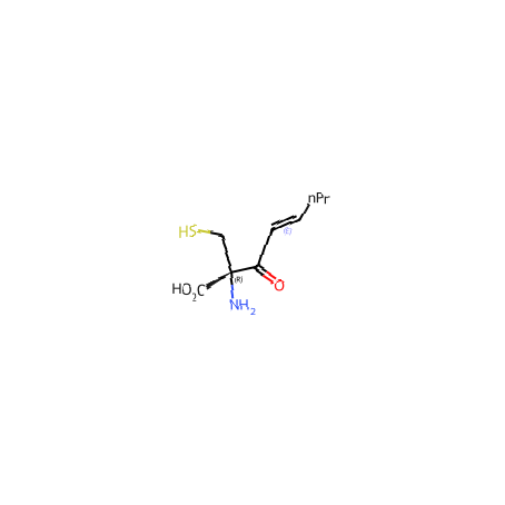 CCC/C=C/C(=O)[C@](N)(CS)C(=O)O